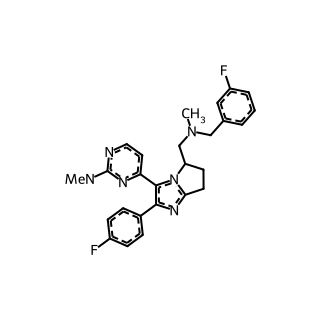 CNc1nccc(-c2c(-c3ccc(F)cc3)nc3n2C(CN(C)Cc2cccc(F)c2)CC3)n1